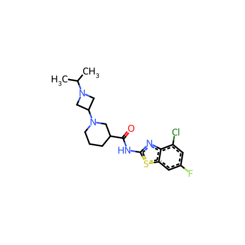 CC(C)N1CC(N2CCCC(C(=O)Nc3nc4c(Cl)cc(F)cc4s3)C2)C1